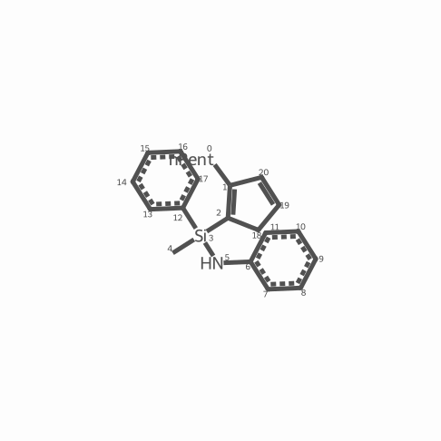 CCCCCC1=C([Si](C)(Nc2ccccc2)c2ccccc2)CC=C1